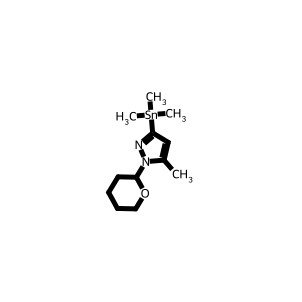 Cc1c[c]([Sn]([CH3])([CH3])[CH3])nn1C1CCCCO1